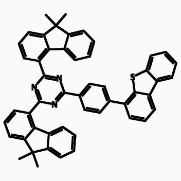 CC1(C)c2ccccc2-c2c(-c3nc(-c4ccc(-c5cccc6c5sc5ccccc56)cc4)nc(-c4cccc5c4-c4ccccc4C5(C)C)n3)cccc21